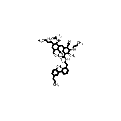 C=C(C)NC1C(CCCC)CC(CC)C(C#N)C1CC1CC(C(=C)NCCc2cccc(-c3cc(CCC)ccc3C)c2)C(C)C(NCCC)C1C#N